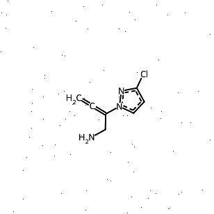 C=C=C(CN)n1ccc(Cl)n1